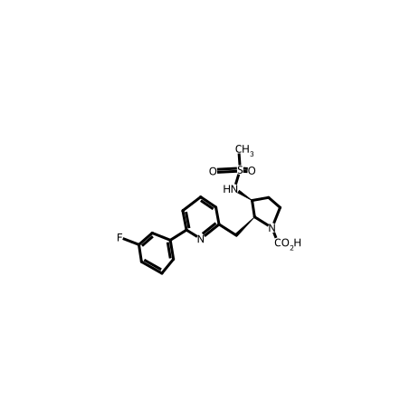 CS(=O)(=O)N[C@H]1CCN(C(=O)O)[C@H]1Cc1cccc(-c2cccc(F)c2)n1